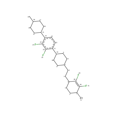 CCC1CCC(CCC2CCC(c3ccc(C4CCC(C)CC4)c(F)c3F)CC2)C(F)=C1F